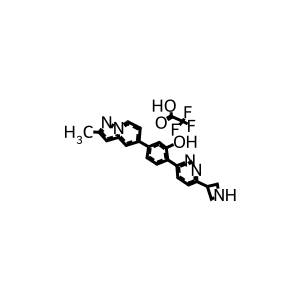 Cc1cc2cc(-c3ccc(-c4ccc(C5CNC5)nn4)c(O)c3)ccn2n1.O=C(O)C(F)(F)F